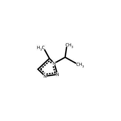 Cc1cnnn1C(C)C